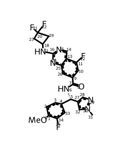 COc1ccc([C@H](NC(=O)c2cc(F)c3cnc(NC4CC(F)(F)C4)nc3c2)c2cnn(C)c2)cc1F